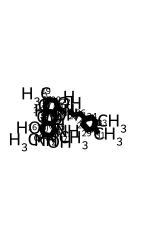 CN[C@@H]1[C@H](O)[C@H](NC)[C@H]2O[C@]3(O)[C@H](OC2[C@H]1O)O[C@H](C)C[C@@]3(O)CNCCc1ccc(C)c(C)c1